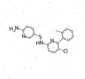 Cc1ccccc1-c1nc(NSc2ccc(N)nc2)ccc1Cl